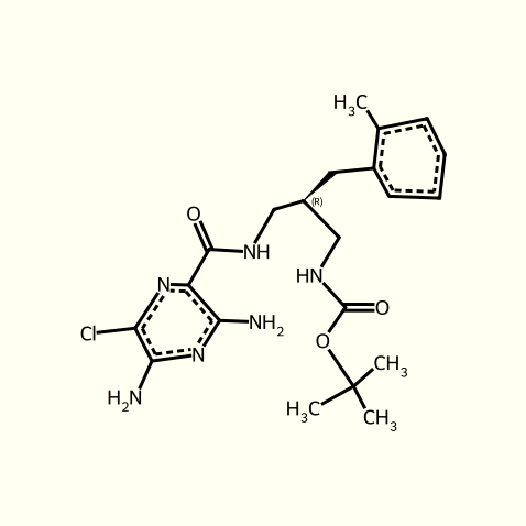 Cc1ccccc1C[C@@H](CNC(=O)OC(C)(C)C)CNC(=O)c1nc(Cl)c(N)nc1N